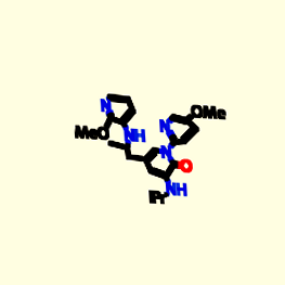 COc1ccc(-n2cc(CC(C)Nc3cccnc3OC)cc(NC(C)C)c2=O)nc1